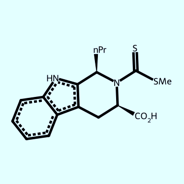 CCC[C@@H]1c2[nH]c3ccccc3c2C[C@H](C(=O)O)N1C(=S)SC